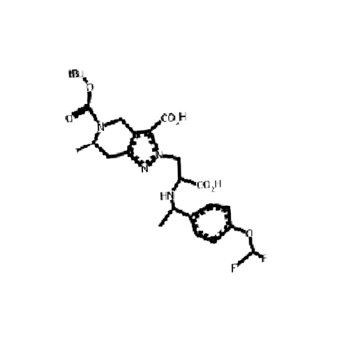 CC(NC(Cn1nc2c(c1C(=O)O)CN(C(=O)OC(C)(C)C)[C@H](C)C2)C(=O)O)c1ccc(OC(F)F)cc1